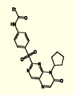 CCC(=O)Nc1ccc(S(=O)(=O)c2ncc3ncc(=O)n(C4CCCC4)c3n2)cc1